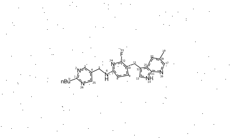 CCCCc1ncc(CNc2ccc(Cc3c[nH]c4ncc(C)cc34)c(F)n2)cn1